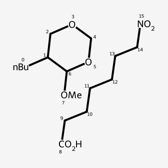 CCCCC1COCOC1OC.O=C(O)CCCCCC[N+](=O)[O-]